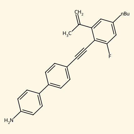 C=C(C)c1cc(CCCC)cc(F)c1C#Cc1ccc(-c2ccc(N)cc2)cc1